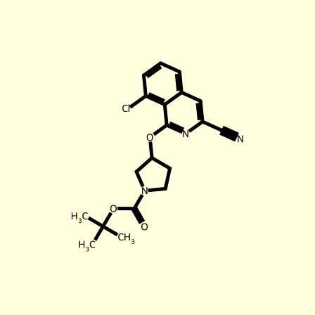 CC(C)(C)OC(=O)N1CCC(Oc2nc(C#N)cc3cccc(Cl)c23)C1